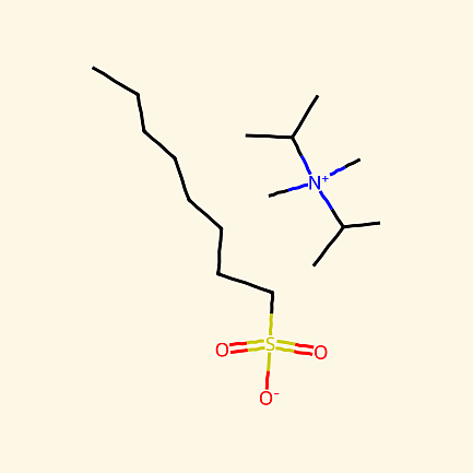 CC(C)[N+](C)(C)C(C)C.CCCCCCCCS(=O)(=O)[O-]